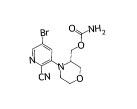 N#Cc1ncc(Br)cc1N1CCOCC1COC(N)=O